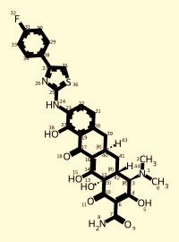 CN(C)[C@H]1C(O)=C(C(N)=O)C(=O)[C@@]2(O)C(O)=C3C(=O)c4c(ccc(Nc5nc(-c6ccc(F)cc6)cs5)c4O)C[C@H]3C[C@H]12